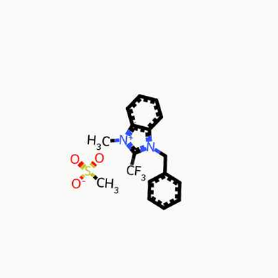 CS(=O)(=O)[O-].C[n+]1c(C(F)(F)F)n(Cc2ccccc2)c2ccccc21